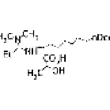 CC(O)C(=O)O.CCCCCCCCCCCCCCCCCCNC(CC)N(C)C